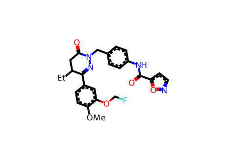 CCC1CC(=O)N(Cc2ccc(NC(=O)c3ccno3)cc2)N=C1c1ccc(OC)c(OCF)c1